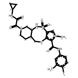 Cc1cc(NC(=O)c2c3c(cn2C)S(=O)(=O)NC2CN(C(=O)C(=O)NC4CC4)CCC2CO3)ccc1F